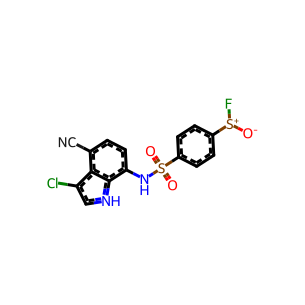 N#Cc1ccc(NS(=O)(=O)c2ccc([S+]([O-])F)cc2)c2[nH]cc(Cl)c12